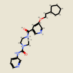 O=C(Nc1cccnc1)N1CCN(C(=O)c2cncc(OCCC3CCCCC3)c2)CC1